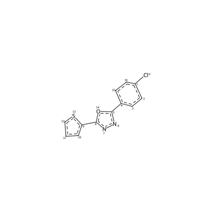 Clc1ccc(-c2nnc(-c3cccs3)o2)cc1